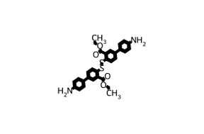 CCOC(=O)c1cc(-c2ccc(N)cc2)ccc1SSc1ccc(-c2ccc(N)cc2)cc1C(=O)OCC